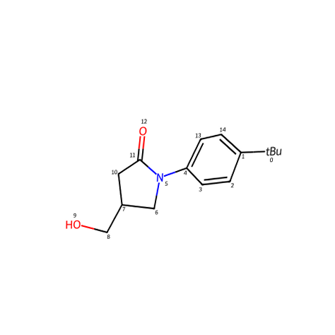 CC(C)(C)c1ccc(N2CC(CO)CC2=O)cc1